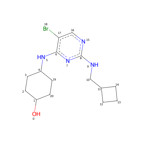 OC1CCC(Nc2nc(NCC3CCC3)ncc2Br)CC1